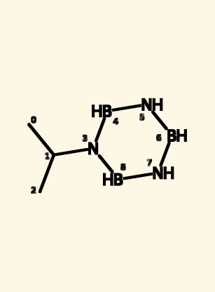 CC(C)N1BNBNB1